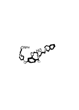 COCCN1CC[C@@H](Oc2ccc3c(c2)OCCN(CC(O)CN2CCc4ccccc4C2)C3=O)C1